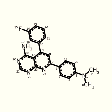 CN(C)c1ccc(-c2cc(-c3cccc(F)c3)c3c(N)ncnc3n2)cc1